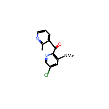 CNc1cc(Cl)cnc1C(=O)c1cccnc1C